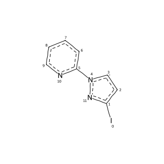 Ic1c[c]n(-c2ccccn2)n1